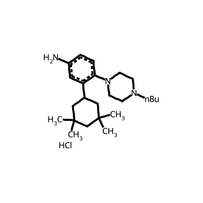 CCCCN1CCN(c2ccc(N)cc2C2CC(C)(C)CC(C)(C)C2)CC1.Cl